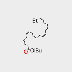 CC/C=C\C/C=C\C/C=C\C/C=C\C/C=C\C/C=C\CC(=O)OCC(C)C